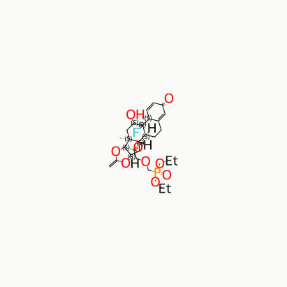 C=C1O[C@@H]2C[C@H]3[C@@H]4CCC5=CC(=O)C=C[C@]5(C)[C@@]4(F)[C@@H](O)C[C@]3(C)[C@]2(C(=O)COCP(=O)(OCC)OCC)O1